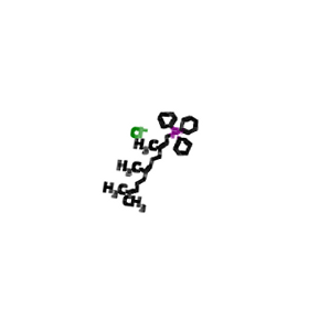 CC(C)=CCC/C(C)=C/CC/C(C)=C/C[P+](c1ccccc1)(c1ccccc1)c1ccccc1.[Cl-]